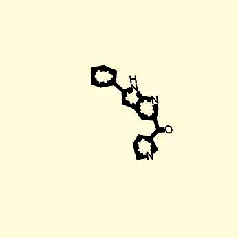 O=C(c1cccnc1)c1cnc2[nH]c(-c3ccccc3)cc2c1